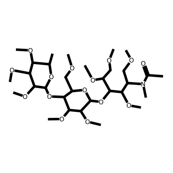 COCC1OC(OC(C(COC)OC)C(OC)C(COC)N(C)C(C)=O)C(OC)C(OC)C1OC1OC(C)C(OC)C(OC)C1OC